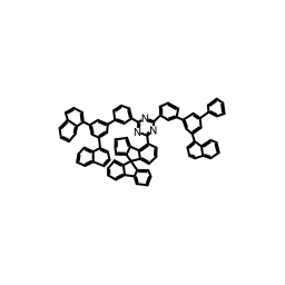 c1ccc(-c2cc(-c3cccc(-c4nc(-c5cccc(-c6cc(-c7cccc8ccccc78)cc(-c7cccc8ccccc78)c6)c5)nc(-c5cccc6c5-c5ccccc5C65c6ccccc6-c6ccccc65)n4)c3)cc(-c3cccc4ccccc34)c2)cc1